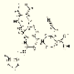 CN1CCC[C@H]1COc1nc2c(c(N3CCN(C(=O)O)[C@@H](CC#N)C3)n1)CCC1(Cc3ccccc3NC1=O)C2=O